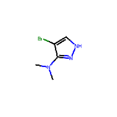 CN(C)c1n[nH]cc1Br